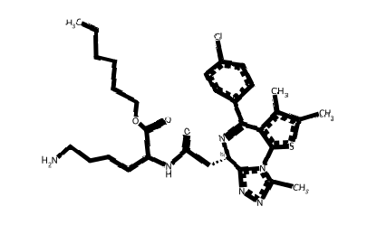 CCCCCCOC(=O)C(CCCCN)NC(=O)C[C@@H]1N=C(c2ccc(Cl)cc2)c2c(sc(C)c2C)-n2c(C)nnc21